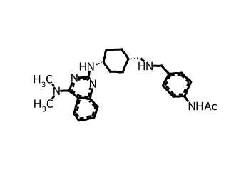 CC(=O)Nc1ccc(CNC[C@H]2CC[C@@H](Nc3nc(N(C)C)c4ccccc4n3)CC2)cc1